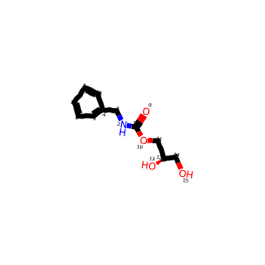 O=C(NCc1ccccc1)OC[C@H](O)CO